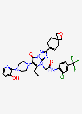 CCc1c(N2CCN(c3ncccc3O)CC2)c(=O)n2nc(C3=CCC4(CC3)COC4)nc2n1CC(=O)Nc1ccc(C(F)(F)F)cc1Cl